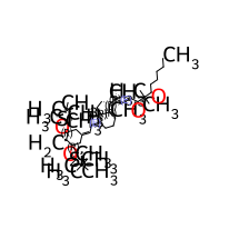 C=C1[C@H](O[Si](C)(C)C(C)(C)C)CC(=C/C=C2\CCC[C@]3(C)[C@@H]([C@H](C)/C=C/C(=O)C(C)(C)C(=O)CCCCCC)CC[C@@H]23)C[C@H]1O[Si](C)(C)C(C)(C)C